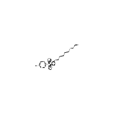 C=CCCCCCCCCOS(=O)(=O)c1ccc(C)cc1